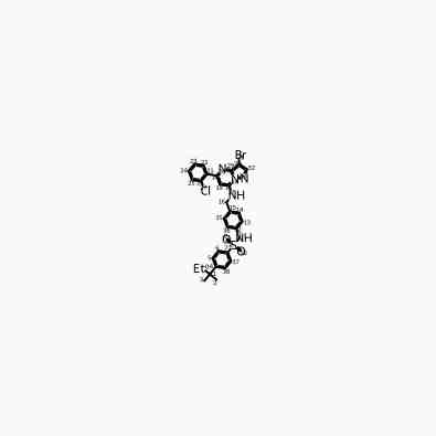 CCC(C)(C)c1ccc(S(=O)(=O)Nc2ccc(CNc3cc(-c4ccccc4Cl)nc4c(Br)cnn34)cc2)cc1